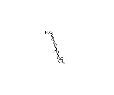 CSCCOCCOCCC(=O)OCCOC(C)=O